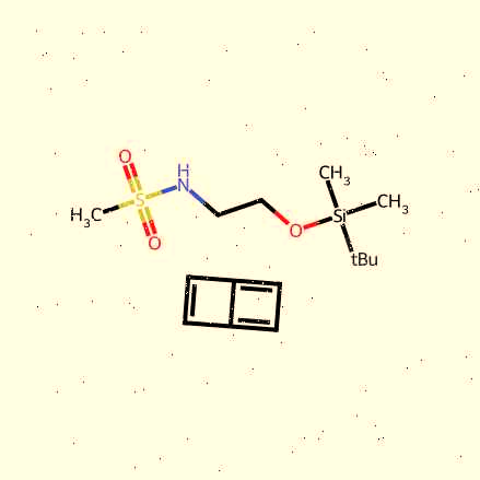 CC(C)(C)[Si](C)(C)OCCNS(C)(=O)=O.c1cc2ccc1-2